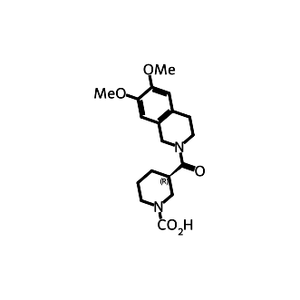 COc1cc2c(cc1OC)CN(C(=O)[C@@H]1CCCN(C(=O)O)C1)CC2